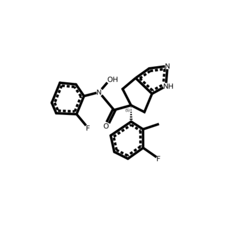 Cc1c(F)cccc1[C@]1(C(=O)N(O)c2ccccc2F)Cc2cn[nH]c2C1